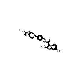 Cc1ccn2c(C(=O)NCc3ccc(N4CCC5(CC4)OC[C@@H](C)O5)cc3)c(C)nc2c1